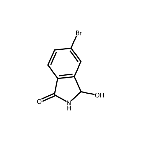 O=C1NC(O)c2cc(Br)ccc21